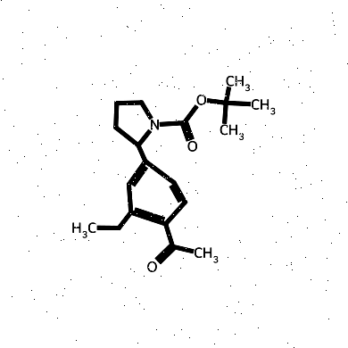 CCc1cc(C2CCCN2C(=O)OC(C)(C)C)ccc1C(C)=O